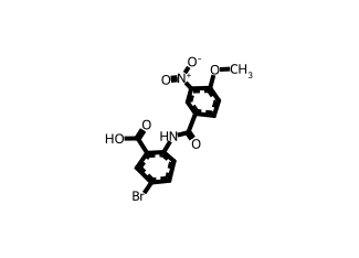 COc1ccc(C(=O)Nc2ccc(Br)cc2C(=O)O)cc1[N+](=O)[O-]